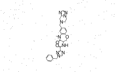 CN1C(=O)[C@H](NC(=O)c2ncn(Cc3ccccc3)n2)COc2ccc(CN3CCn4ncnc4C3)cc21